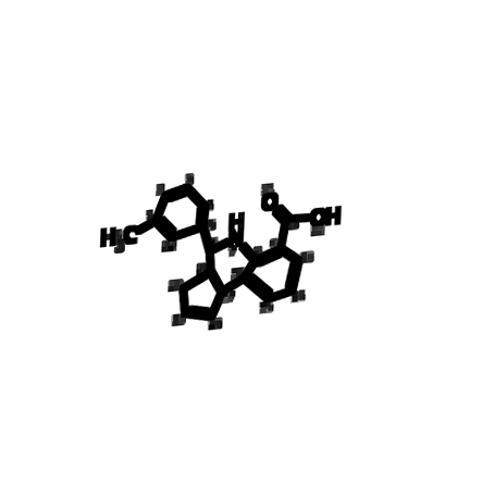 Cc1cccc(C2Nc3c(C(=O)O)cccc3C3C=CCC32)c1